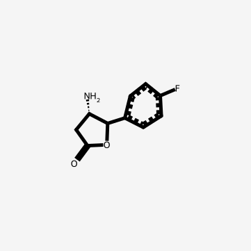 N[C@H]1CC(=O)OC1c1ccc(F)cc1